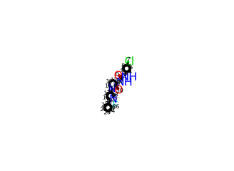 O=C(Nc1ccc(Cl)cc1)N[C@@H]1CCCN(c2ccc(-c3ccccc3F)nc2)C1=O